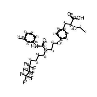 CCOC(Cc1ccc(OCCN(CCCCC(F)(F)C(F)(F)C(F)(F)F)C(=O)Nc2cccc(C)c2)cc1)C(=O)O